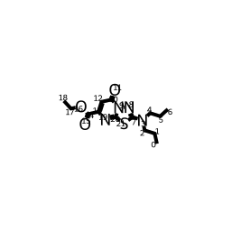 CCCN(CCC)c1nn2c(=O)cc(C(=O)OCC)nc2s1